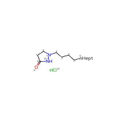 CCCCCCCCCCCN1CCC(=O)N1.Cl